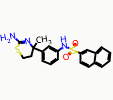 CC1(c2cccc(NS(=O)(=O)c3ccc4ccccc4c3)c2)CCSC(N)=N1